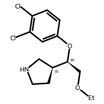 CCOC[C@H](Oc1ccc(Cl)c(Cl)c1)[C@H]1CCNC1